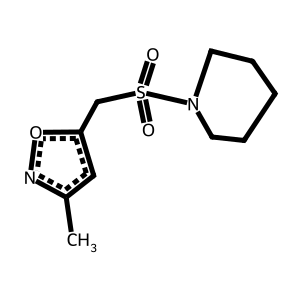 Cc1cc(CS(=O)(=O)N2CCCCC2)on1